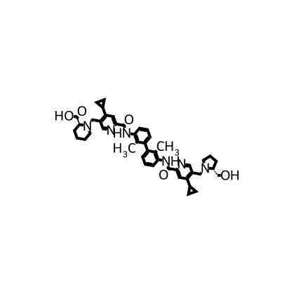 Cc1c(NC(=O)c2cc(C3CC3)c(CN3CCC[C@@H]3CO)cn2)cccc1-c1cccc(NC(=O)c2cc(C3CC3)c(CN3CCCC[C@H]3C(=O)O)cn2)c1C